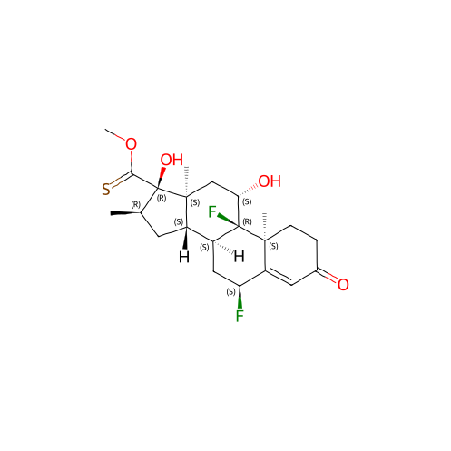 COC(=S)[C@@]1(O)[C@H](C)C[C@H]2[C@@H]3C[C@H](F)C4=CC(=O)CC[C@]4(C)[C@@]3(F)[C@@H](O)C[C@@]21C